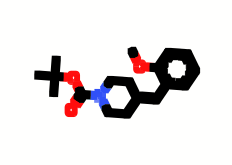 COc1ccccc1C=C1CCN(C(=O)OC(C)(C)C)CC1